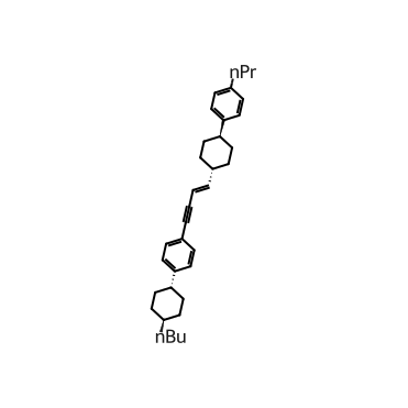 CCCC[C@H]1CC[C@H](c2ccc(C#CC=C[C@H]3CC[C@H](c4ccc(CCC)cc4)CC3)cc2)CC1